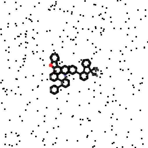 CC1(C)c2ccccc2-c2c(-c3cccc(N(c4ccc5oc6ccccc6c5c4)c4cccc(-c5ccccc5)c4-c4ccccc4-c4ccccc4)c3)cccc21